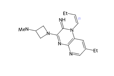 CC/C=C\n1c(=N)c(N2CC(NC)C2)nc2ncc(CC)cc21